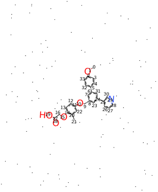 COc1ccc(-c2cc(COc3ccc(OCC(=O)O)c(C)c3)cc(-c3cccnc3)c2)cc1